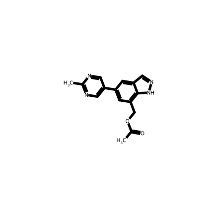 CC(=O)OCc1cc(-c2cnc(C)nc2)cc2cn[nH]c12